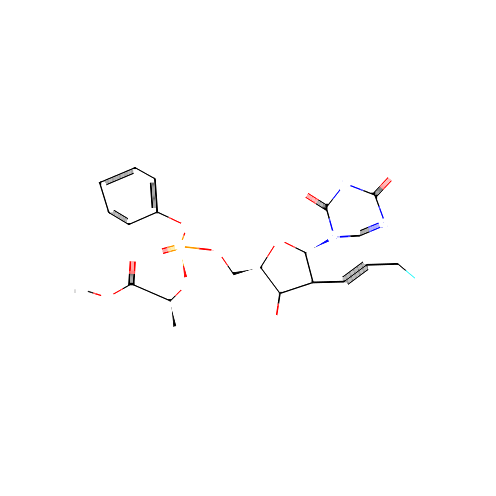 CC(C)OC(=O)[C@H](C)O[P@](=O)(OC[C@H]1O[C@@H](n2cnc(=O)[nH]c2=O)[C@@](Cl)(C#CCF)C1O)Oc1ccccc1